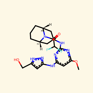 COc1cc(Nc2cc(CO)[nH]n2)nc(NC2C[C@H]3CCC[C@@H](C2)N3C(=O)C(F)F)n1